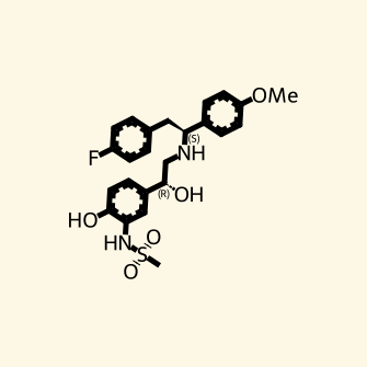 COc1ccc([C@H](Cc2ccc(F)cc2)NC[C@H](O)c2ccc(O)c(NS(C)(=O)=O)c2)cc1